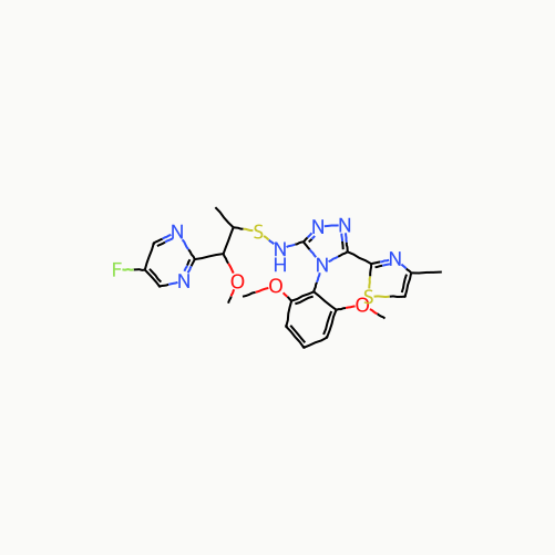 COc1cccc(OC)c1-n1c(NSC(C)C(OC)c2ncc(F)cn2)nnc1-c1nc(C)cs1